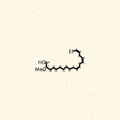 CC/C=C\C/C=C\C/C=C\CCCCCCCCC(CO)OC